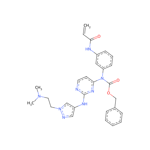 C=CC(=O)Nc1cccc(N(C(=O)OCc2ccccc2)c2ccnc(Nc3cnn(CCN(C)C)c3)n2)c1